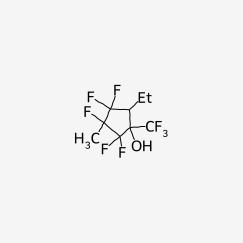 CCC1C(F)(F)C(C)(F)C(F)(F)C1(O)C(F)(F)F